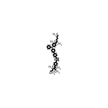 CCCCCCC(C)(C)c1ccc(N(c2ccccc2)c2ccc(-c3ccc(-c4nnc(-c5ccc(C(C)(C)C(CC)CCCC)cc5)o4)cc3)cc2)cc1